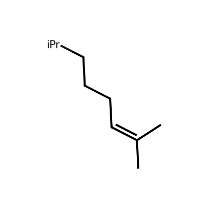 [CH2]C(C)CCCC=C(C)C